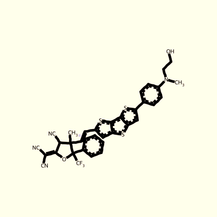 CN(CCO)c1ccc(-c2cc3sc4cc(/C=C/C5(C)C(C#N)C(=C(C#N)C#N)OC5(c5ccccc5)C(F)(F)F)sc4c3s2)cc1